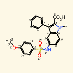 Cn1c(C(=O)O)c(-c2ccccc2)c2cc(NS(=O)(=O)c3ccc(OC(F)(F)F)cc3)ccc21